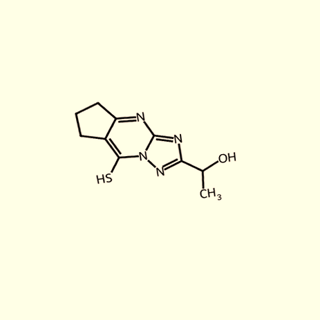 CC(O)c1nc2nc3c(c(S)n2n1)CCC3